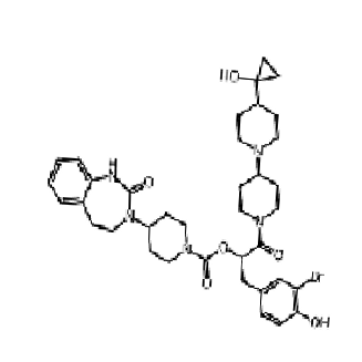 O=C(O[C@H](Cc1ccc(O)c(Br)c1)C(=O)N1CCC(N2CCC(C3(O)CC3)CC2)CC1)N1CCC(N2CCc3ccccc3NC2=O)CC1